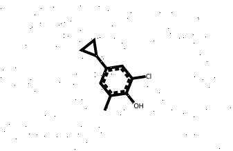 Cc1cc(C2CC2)cc(Cl)c1O